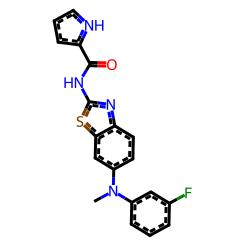 CN(c1cccc(F)c1)c1ccc2nc(NC(=O)c3ccc[nH]3)sc2c1